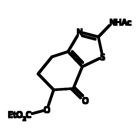 CCOC(=O)OC1CCc2nc(NC(C)=O)sc2C1=O